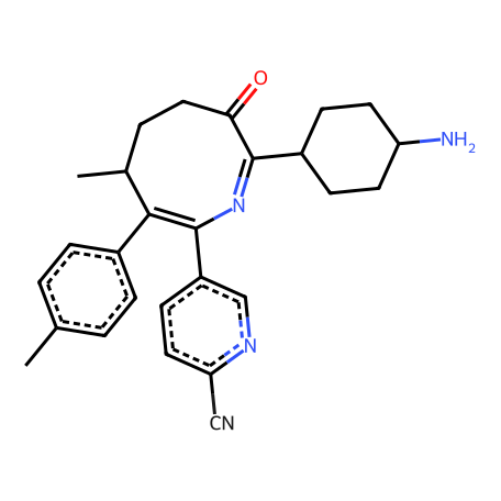 Cc1ccc(/C2=C(c3ccc(C#N)nc3)/N=C(/C3CCC(N)CC3)C(=O)CCC2C)cc1